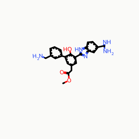 COC(=O)Cc1cc(-c2cccc(CN)c2)c(O)c(-c2nc3cc(C(=N)N)ccc3[nH]2)c1